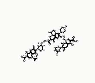 CC1COc2c(N3CCN(C)CC3)c(F)cc3c(=O)c(C(=O)O)cn1c23.CCn1cc(C(=O)O)c(=O)c2cc(F)c(N3CCNC(C)C3)c(F)c21.CNC1CCCN(c2c(F)cc3c(=O)c(C(=O)O)cn(C4CC4)c3c2OC)C1